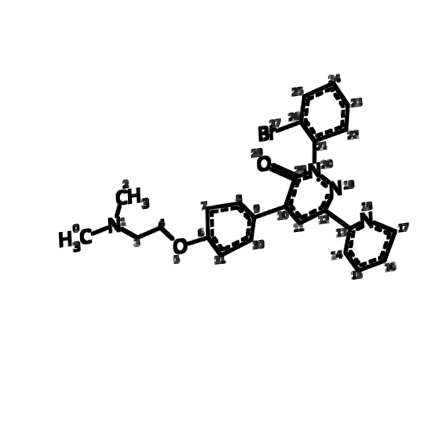 CN(C)CCOc1ccc(-c2cc(-c3ccccn3)nn(-c3ccccc3Br)c2=O)cc1